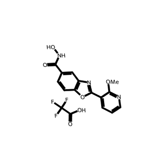 COc1ncccc1-c1nc2cc(C(=O)NO)ccc2o1.O=C(O)C(F)(F)F